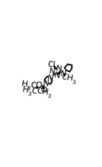 CN(c1nc(Cl)nc(N2CCN(C(=O)OC(C)(C)C)CC2)n1)C1CCCCC1